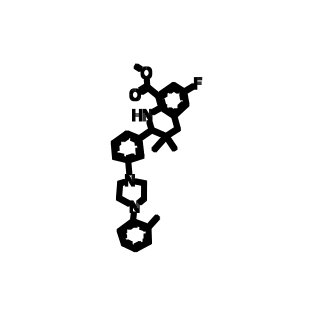 COC(=O)c1cc(F)cc2c1NC(c1cccc(N3CCN(c4ccccc4C)CC3)c1)C(C)(C)C2